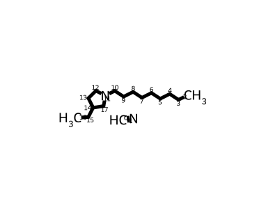 C#N.CCCCCCCCCN1CCC(CC)C1